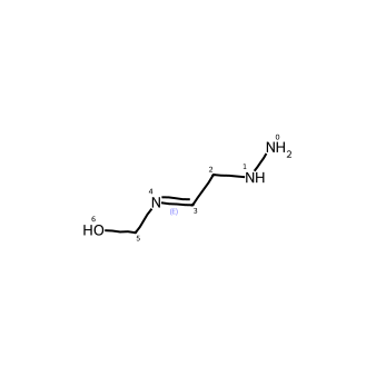 NNC/C=N/CO